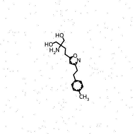 Cc1ccc(CCc2cc(CCC(N)(CO)CO)on2)cc1